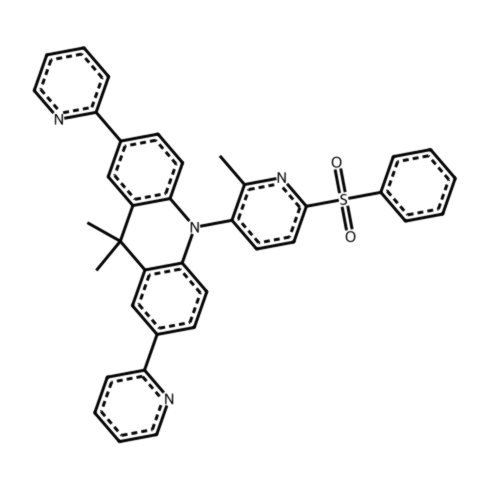 Cc1nc(S(=O)(=O)c2ccccc2)ccc1N1c2ccc(-c3ccccn3)cc2C(C)(C)c2cc(-c3ccccn3)ccc21